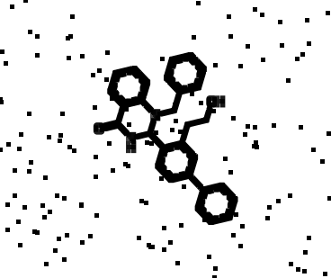 O=C1NC(c2ccc(-c3ccccc3)cc2CCO)N(Cc2ccccc2)c2ccccc21